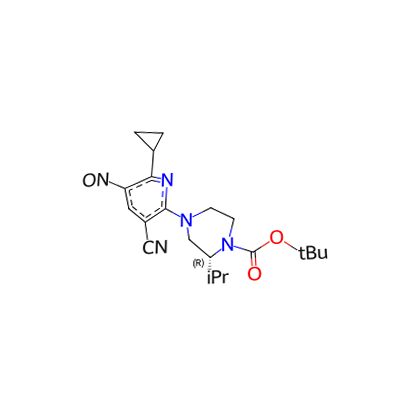 CC(C)[C@@H]1CN(c2nc(C3CC3)c(N=O)cc2C#N)CCN1C(=O)OC(C)(C)C